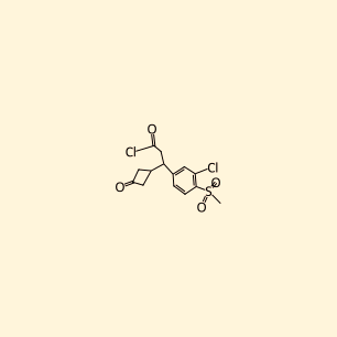 CS(=O)(=O)c1ccc(C(CC(=O)Cl)C2CC(=O)C2)cc1Cl